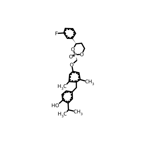 Cc1cc(OC[P@@]2(=O)OCC[C@@H](c3cccc(F)c3)O2)cc(C)c1Cc1ccc(O)c(C(C)C)c1